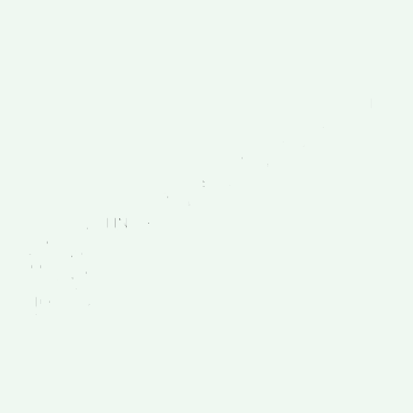 CCCCCCCCCCCCNCCC(C)(C)S(=O)(=O)O